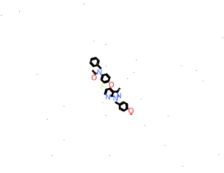 COc1ccc(Cn2nc(C)c3c(Oc4ccc(N(Cc5ccccc5)C(C)=O)cc4F)ccnc32)cc1